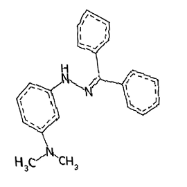 CN(C)c1cccc(NN=C(c2ccccc2)c2ccccc2)c1